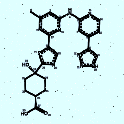 Cc1cc(Nc2cc(-c3c[nH]nn3)ccn2)nc(-c2cnc([C@]3(O)CC[C@@H](C(=O)O)CC3)s2)c1